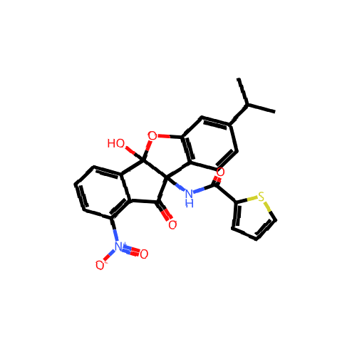 CC(C)c1ccc2c(c1)OC1(O)c3cccc([N+](=O)[O-])c3C(=O)C21NC(=O)c1cccs1